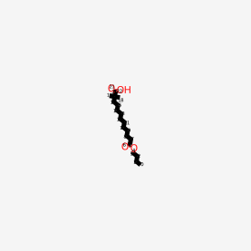 CCCCOC(=O)CCCCCCCCCCC(C)(C)C(=O)O